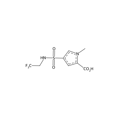 Cn1cc(S(=O)(=O)NCC(F)(F)F)cc1C(=O)O